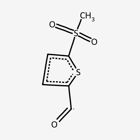 CS(=O)(=O)c1ccc([C]=O)s1